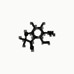 C=Cc1c(N)c(C)c(C)c2c1C(=O)C(C)(C)O2